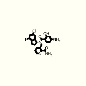 NC(=O)c1ncccc1CN(C(=O)c1ccc(N)cc1O)[C@@H]1CCc2c(F)cc(Cl)cc21